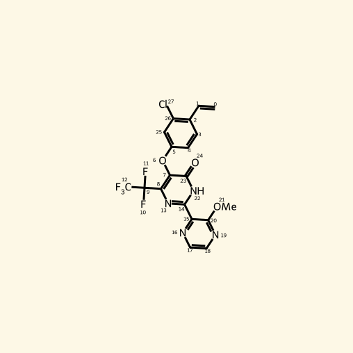 C=Cc1ccc(Oc2c(C(F)(F)C(F)(F)F)nc(-c3nccnc3OC)[nH]c2=O)cc1Cl